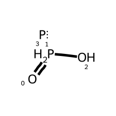 O=[PH2]O.[P]